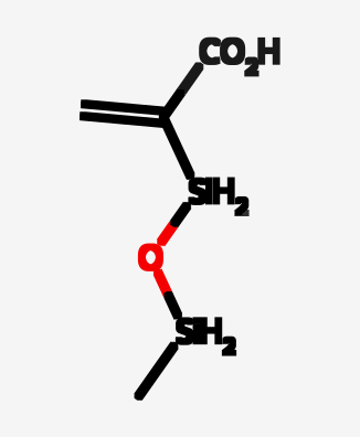 C=C([SiH2]O[SiH2]C)C(=O)O